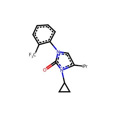 CC(C)c1cn(-c2ccccc2C(F)(F)F)c(=O)n1C1CC1